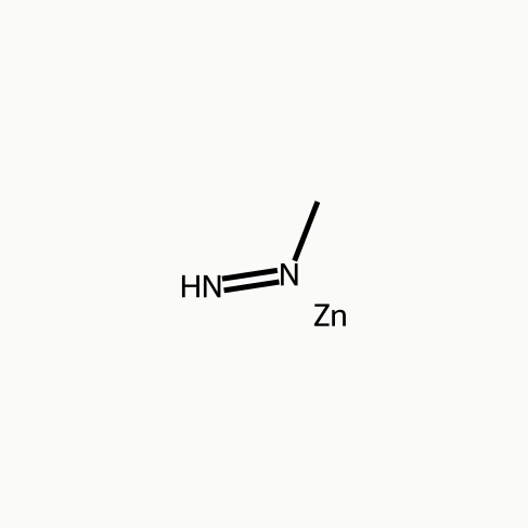 CN=N.[Zn]